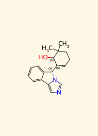 CC1(C)CCC[C@@H]([C@H]2c3ccccc3-c3cncn32)[C@H]1O